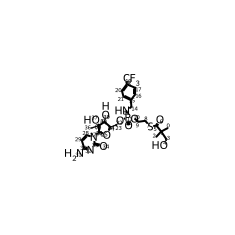 CC(C)(CO)C(=O)SCCOP(=O)(NCc1ccc(C(F)(F)F)cc1)OC[C@H]1O[C@@H](n2ccc(N)nc2=O)[C@](C)(O)[C@@H]1O